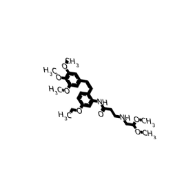 CCOc1ccc(/C=C\c2cc(OC)c(OC)c(OC)c2)c(NC(=O)CCNCC(OC)OC)c1